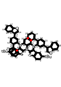 CC(C)(C)c1ccc2sc3c(c2c1)N(c1cc(-c2coc4ccccc24)ccc1-c1ccccc1)c1cccc2c1B3c1sc3ccc(C(C)(C)C)cc3c1N2c1cc(-c2coc3ccccc23)ccc1-c1ccccc1